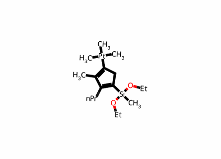 CCCC1=C([Si](C)(OCC)OCC)C[C]([Pt]([CH3])([CH3])[CH3])=C1C